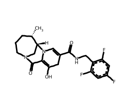 C[C@H]1CCCN2C[C@H]1N1C=C(C(=O)NCc3c(F)cc(F)cc3F)CC(O)=C1C2=O